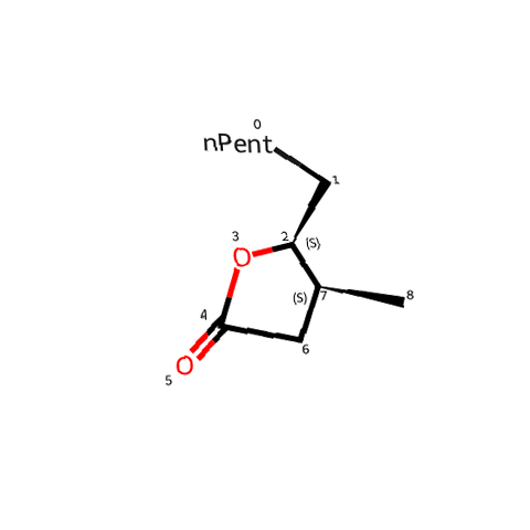 CCCCCC[C@@H]1OC(=O)C[C@@H]1C